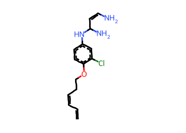 C=C/C=C\CCOc1ccc(NC(N)/C=C\N)cc1Cl